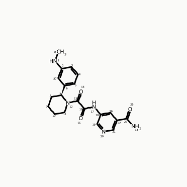 CNc1cccc([C@@H]2CCCCN2C(=O)C(=O)Nc2cncc(C(N)=O)c2)c1